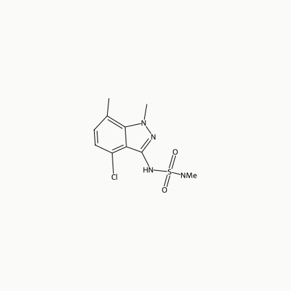 CNS(=O)(=O)Nc1nn(C)c2c(C)ccc(Cl)c12